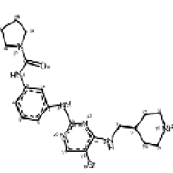 O=C(Nc1cccc(Nc2ncc(Br)c(NCC3CCNCC3)n2)c1)N1CCCC1